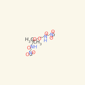 CC(C)(CCCNC(=O)CCN1C(=O)C=CC1=O)OCCOCCCNC(=O)CCN1C(=O)C=CC1=O